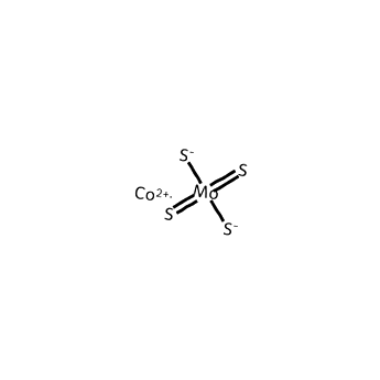 [Co+2].[S]=[Mo](=[S])([S-])[S-]